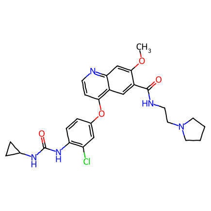 COc1cc2nccc(Oc3ccc(NC(=O)NC4CC4)c(Cl)c3)c2cc1C(=O)NCCN1CCCC1